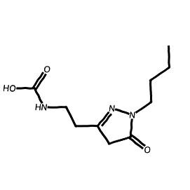 CCCCN1N=C(CCNC(=O)O)CC1=O